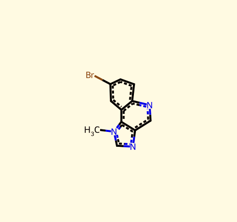 Cn1cnc2cnc3ccc(Br)cc3c21